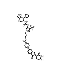 O=C1CCC(N2Cc3cc(N4CCN(C(=O)CCCCn5cc(NC(=O)Nc6cnc7ccnn7c6C6CCCC6)c(C(F)(F)F)n5)CC4)ccc3C2=O)C(=O)N1